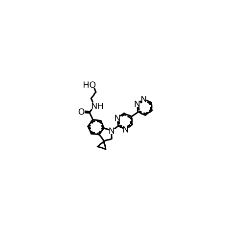 O=C(NCCO)c1ccc2c(c1)N(c1ncc(-c3cccnn3)cn1)CC21CC1